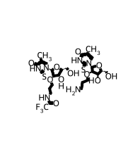 Cc1cn([C@@H]2O[C@H](CO)[C@@H](O)[C@H]2OCCCN)c(=S)[nH]c1=O.Cc1cn([C@@H]2O[C@H](CO)[C@@H](O)[C@H]2OCCCNC(=O)C(F)(F)F)c(=S)[nH]c1=O